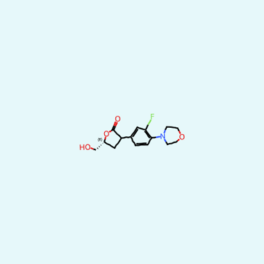 O=C1O[C@@H](CO)CC1c1ccc(N2CCOCC2)c(F)c1